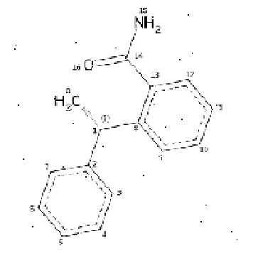 C[C@@H](c1ccccc1)c1ccccc1C(N)=O